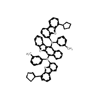 Cc1cccc(N(c2cccc3c2oc2c(C4CCCC4)cccc23)c2c3ccccc3c(N(c3cccc(C)c3)c3cccc4c3oc3c(C5CCCC5)cccc34)c3c2oc2ccccc23)c1